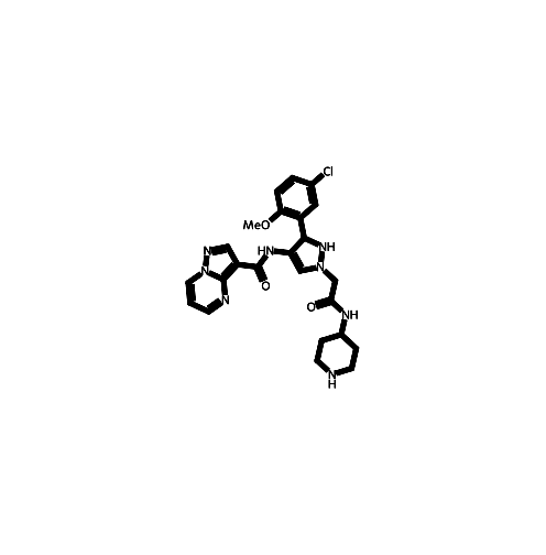 COc1ccc(Cl)cc1C1NN(CC(=O)NC2CCNCC2)C=C1NC(=O)c1cnn2cccnc12